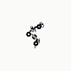 O=C(/C=C/c1ccc2c(c1)OCO2)NC[C@@H]1CCCC[C@H]1CN1CCN(c2nsc3cc(F)ccc23)CC1